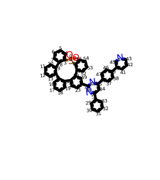 O=S1(=O)c2ccccc2-c2ccccc2-c2ccccc2-c2ccc(-c3nc(-c4ccccc4)cc(-c4ccc(-c5cccnc5)cc4)n3)cc2-c2ccccc21